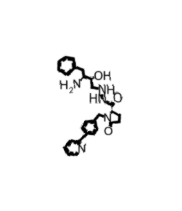 N[C@@H](Cc1ccccc1)[C@@H](O)CNNC(=O)[C@@H]1CCC(=O)N1Cc1ccc(-c2ccccn2)cc1